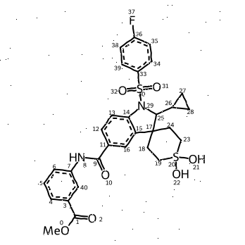 COC(=O)c1cccc(NC(=O)c2ccc3c(c2)C2(CCS(O)(O)CC2)C(C2CC2)N3S(=O)(=O)c2ccc(F)cc2)c1